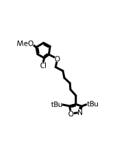 COc1ccc(OCCCCCCc2c(C(C)(C)C)noc2C(C)(C)C)c(Cl)c1